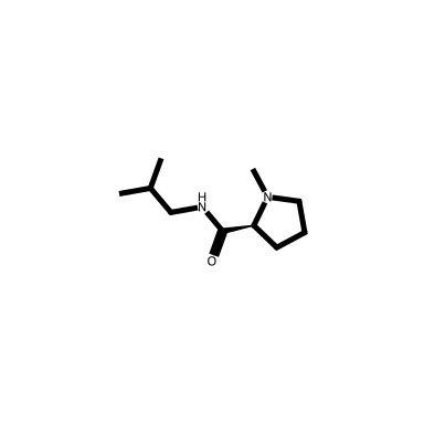 CC(C)CNC(=O)[C@@H]1CCCN1C